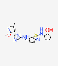 COc1ncc(C)cc1-c1cncc(NCc2ccc3nc(NC4CCCC[C@H]4O)sc3c2)n1